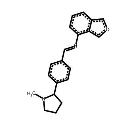 CN1CCCC1c1ccc(C=Nc2cccc3cocc23)cc1